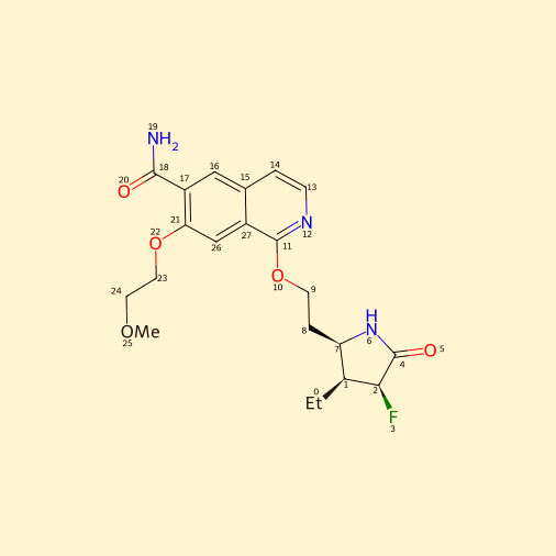 CC[C@@H]1[C@H](F)C(=O)N[C@@H]1CCOc1nccc2cc(C(N)=O)c(OCCOC)cc12